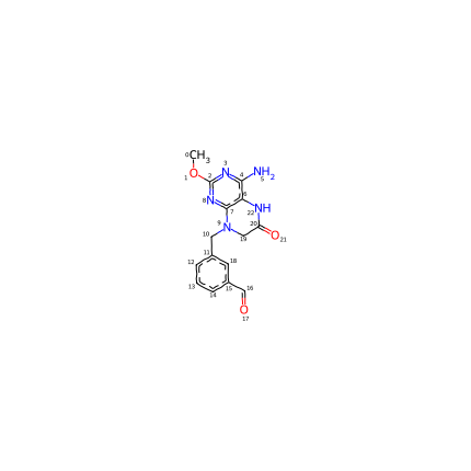 COc1nc(N)c2c(n1)N(Cc1cccc(C=O)c1)CC(=O)N2